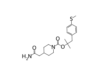 CSc1ccc(CC(C)(C)OC(=O)N2CCC(CC(N)=O)CC2)cc1